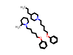 CC1CCCCN1CCCCCOc1ccccc1.CCCC1CCN(CCCCCOc2ccccc2)CC1